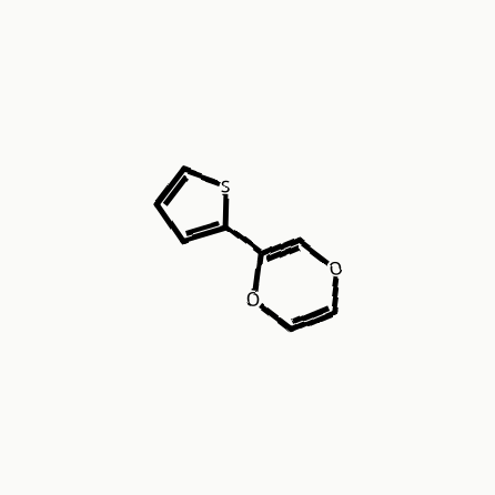 C1=COC(c2cccs2)=CO1